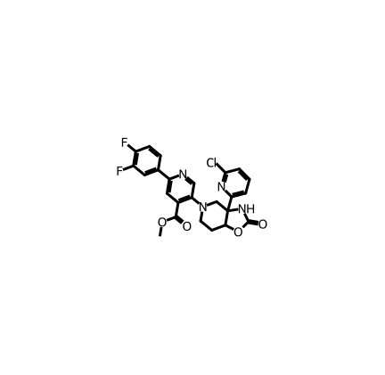 COC(=O)c1cc(-c2ccc(F)c(F)c2)ncc1N1CCC2OC(=O)NC2(c2cccc(Cl)n2)C1